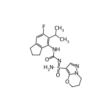 CC(C)c1c(F)cc2c(c1NC(=O)N=[S@](N)(=O)c1cnn3c1OCCC3)CCC2